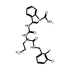 NCC[C@@H](NC(=O)Nc1cn(C(N)=O)c2ccccc12)C(=O)NCc1cccc(Cl)c1F